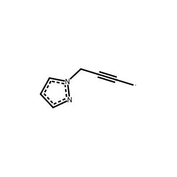 [CH2]C#CCn1cccn1